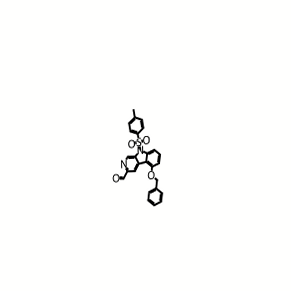 Cc1ccc(S(=O)(=O)n2c3cnc(C=O)cc3c3c(OCc4ccccc4)cccc32)cc1